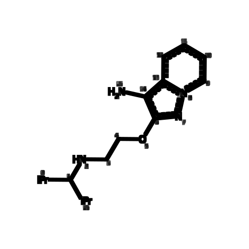 CC(C)C(NCCOc1nn2ccccc2c1N)C(C)C